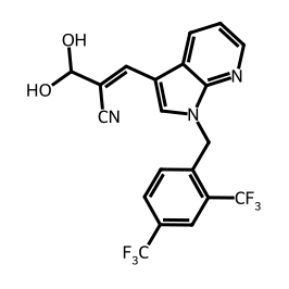 N#C/C(=C\c1cn(Cc2ccc(C(F)(F)F)cc2C(F)(F)F)c2ncccc12)C(O)O